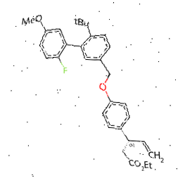 C=C[C@H](CC(=O)OCC)c1ccc(OCc2ccc(C(C)(C)C)c(-c3cc(OC)ccc3F)c2)cc1